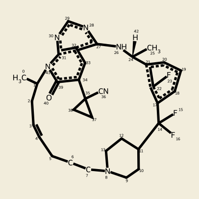 CC1C/C=C\CCCN2CCC(CC2)C(F)(F)c2cccc(c2F)[C@@H](C)Nc2ncnc3c2cc(C2(C#N)CC2)c(=O)n31